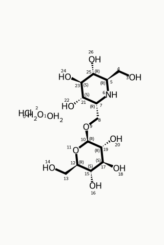 Cl.O.O.OC[C@H]1N[C@H](CO[C@@H]2O[C@H](CO)[C@@H](O)[C@H](O)[C@H]2O)[C@H](O)[C@@H](O)[C@@H]1O